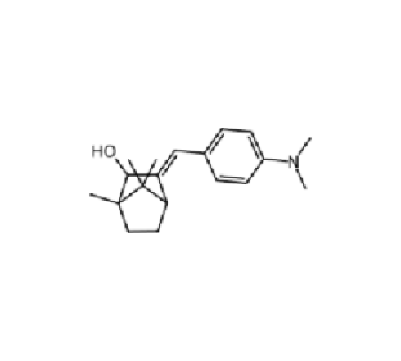 CN(C)c1ccc(/C=C2\C3CCC(C)(C2O)C3(C)C)cc1